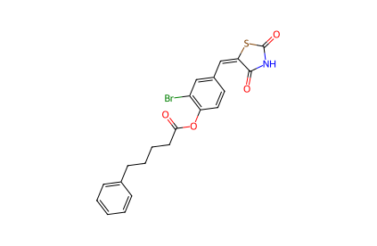 O=C(CCCCc1ccccc1)Oc1ccc(C=C2SC(=O)NC2=O)cc1Br